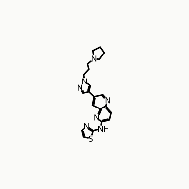 c1csc(Nc2ccc3ncc(-c4cnn(CCCN5CCCC5)c4)cc3n2)n1